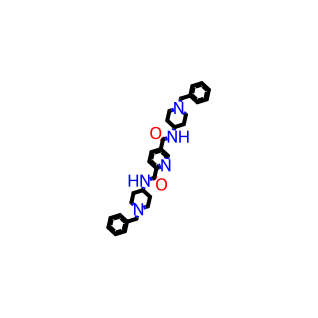 O=C(NC1CCN(Cc2ccccc2)CC1)c1ccc(C(=O)NC2CCN(Cc3ccccc3)CC2)nc1